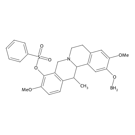 BOc1cc2c(cc1OC)CCN1Cc3c(ccc(OC)c3OS(=O)(=O)c3ccccc3)C(C)C21